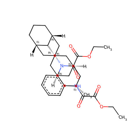 CCOC(=O)C(=O)Nc1ccccc1N(C(=O)C(=O)OCC)[C@H]1C[C@H]2CCC[C@@H](C1)C2[C@H]1C[C@@H]2C[C@@H](C)C[C@@H](C2)C1